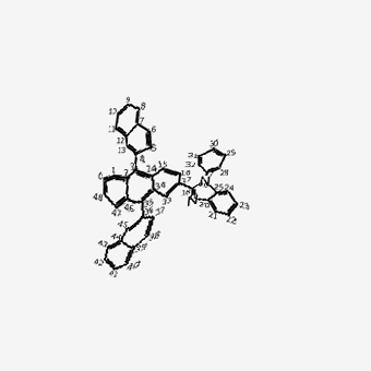 C1=C=c2c(-c3ccc4ccccc4c3)c3ccc(-c4nc5ccccc5n4-c4ccccc4)cc3c(-c3ccc4ccccc4c3)c2=CC=1